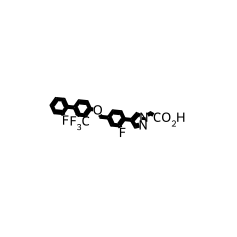 O=C(O)Cn1cc(-c2ccc(COc3ccc(-c4ccccc4F)c(C(F)(F)F)c3)cc2F)cn1